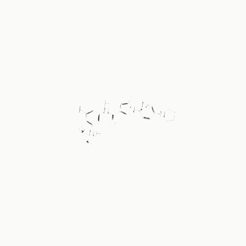 Cc1cc(C(=O)Nc2cc(Cl)cc(NS(C)(=O)=O)c2)cn1-c1ccc(N2CCCC2)cn1